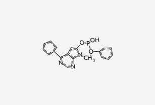 Cn1c(OP(O)Oc2ccccc2)cc2c(-c3ccccc3)ncnc21